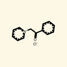 O=C(C[n+]1ccccc1)c1ccccc1.[Cl-]